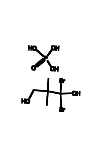 CC(C)(CO)C(O)(Br)Br.O=P(O)(O)O